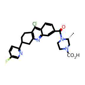 C[C@@H]1CN(C(=O)O)CCN1C(=O)c1ccc2c(Cl)c3c(nc2c1)CC(c1ccc(F)cn1)CC3